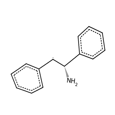 N[C@H]([CH]c1ccccc1)c1ccccc1